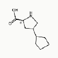 O=C(O)[C@@H]1CC(C2CCCC2)CN1